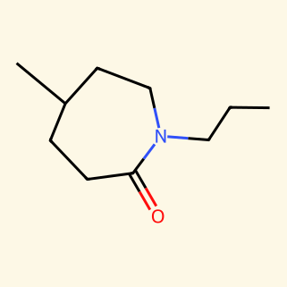 CCCN1CCC(C)CCC1=O